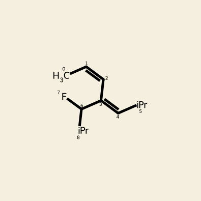 C/C=C\C(=C/C(C)C)C(F)C(C)C